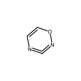 C1=NC=CON=1